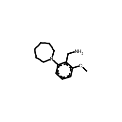 COc1cccc(N2CCCCCC2)c1CN